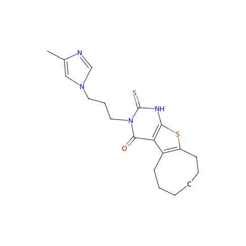 Cc1cn(CCCn2c(=S)[nH]c3sc4c(c3c2=O)CCCCCC4)cn1